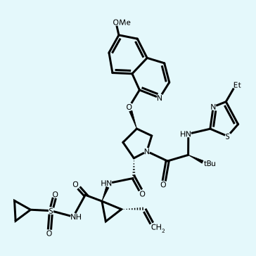 C=C[C@@H]1C[C@]1(NC(=O)[C@@H]1C[C@@H](Oc2nccc3cc(OC)ccc23)CN1C(=O)[C@@H](Nc1nc(CC)cs1)C(C)(C)C)C(=O)NS(=O)(=O)C1CC1